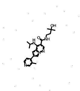 Cc1cnccc1-c1cc2c(NC(C)C)c(C(=O)NCCC(C)(C)O)cnn2c1